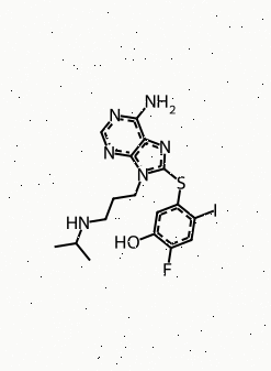 CC(C)NCCCn1c(Sc2cc(O)c(F)cc2I)nc2c(N)ncnc21